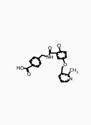 Cc1ncccc1COc1ccc(Cl)c(C(=O)NCc2ccc(C(=O)O)cc2)c1